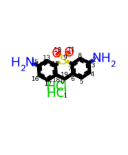 Cl.Cl.Nc1ccc2c(c1)S(=O)(=O)c1cc(N)ccc1C2